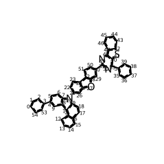 c1ccc(-c2ccc3c(c2)c2c4ccccc4ccc2n3-c2ccc3c(c2)oc2cc(-c4nc(-c5ccccc5)c5sc6ccccc6c5n4)ccc23)cc1